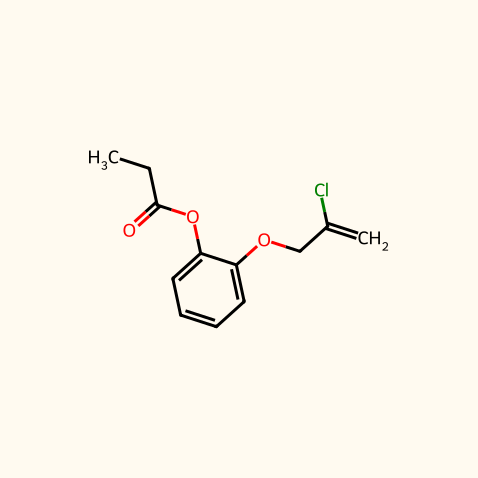 C=C(Cl)COc1ccccc1OC(=O)CC